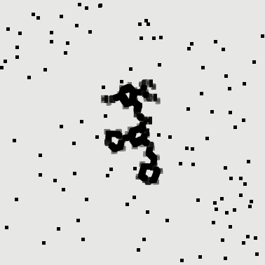 Cc1ccc(N(C)C)c(C=NNc2cc(N3CCOCC3)cc(OCCN3CCOCC3)n2)c1